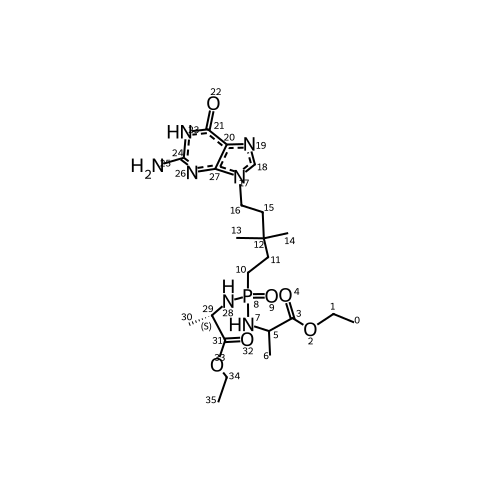 CCOC(=O)C(C)NP(=O)(CCC(C)(C)CCn1cnc2c(=O)[nH]c(N)nc21)N[C@@H](C)C(=O)OCC